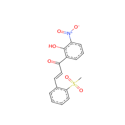 CS(=O)(=O)c1ccccc1C=CC(=O)c1cccc([N+](=O)[O-])c1O